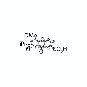 COc1cc([S+]([O-])C(C)C)cc2c(=O)c3cc(C(=O)O)ccc3oc12